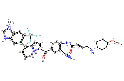 CO[C@H]1CC[C@H](NC/C=C/C(=O)Nc2ccc(C(=O)c3ccc4c(-c5cc6ncn(C)c6cc5C(F)(F)F)cccn34)cc2C#N)CC1